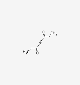 CCC(=O)C#CC(=O)CC